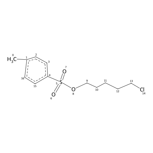 Cc1ccc(S(=O)(=O)OCCCCCCl)cc1